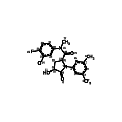 Cc1cc(C(F)(F)F)cc(N2C(=O)[C@@H](O)C[C@H]2C(=O)N(C)c2ccc(F)c(Cl)c2)n1